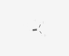 O.O=S(O)O.[CaH2]